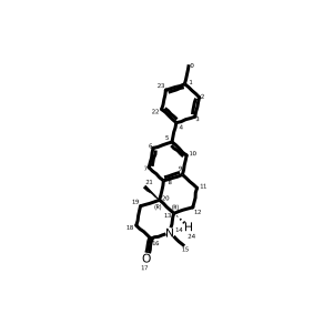 Cc1ccc(-c2ccc3c(c2)CC[C@H]2N(C)C(=O)CC[C@]32C)cc1